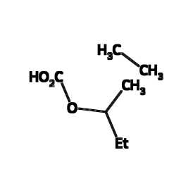 CC.CCC(C)OC(=O)O